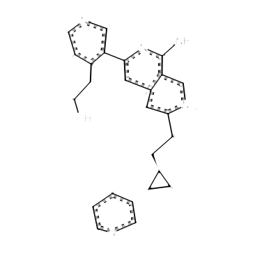 Nc1nc(-c2cnccc2CCO)cc2cc(CC[C@H]3C[C@@H]3c3cccnc3)ncc12